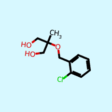 CC(CO)(CO)OCc1ccccc1Cl